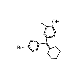 Oc1ccc(C(=C2CCCCC2)c2ccc(Br)cc2)cc1F